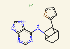 Cl.c1csc(C2C3CCC(CC3)C2Nc2ncnc3nc[nH]c23)c1